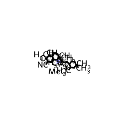 COCC[C@]1(CCC(C)(C)[C@]2(C)CC[C@H]3C(C)(C)C(=O)C(C#N)=C[C@]3(C)/C2=C/C(C)=O)CCC(C)(C)CC1C